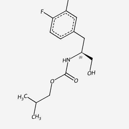 CC(C)COC(=O)N[C@H](CO)Cc1ccc(F)c(F)c1